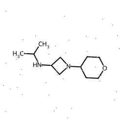 CC(C)NC1CN(C2CCOCC2)C1